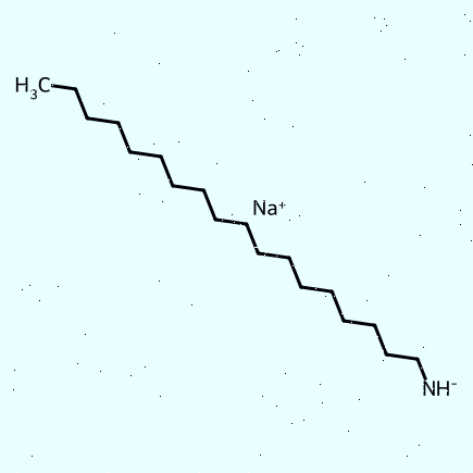 CCCCCCCCCCCCCCCCCC[NH-].[Na+]